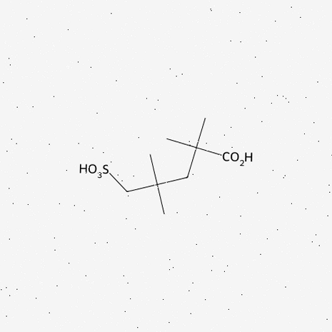 CC(C)(CC(C)(C)C(=O)O)CS(=O)(=O)O